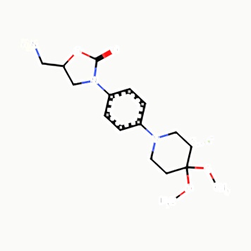 COC1(OC)CCN(c2ccc(N3CC(CN)OC3=O)cc2)C[C@@H]1F